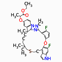 CCOC(=O)C(C)Oc1cccc(C2(C)CCCC(C)(C)CSCCc3c(c(F)cc4[nH]ccc34)Oc3ccc(F)c(c3)-c3nc2nn3C)c1